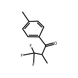 Cc1ccc(C(=O)C(C)C(F)(F)F)cc1